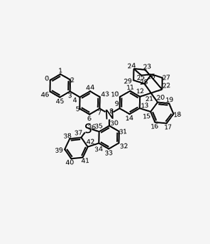 c1ccc(-c2ccc(N(c3ccc4c(c3)-c3ccccc3C43C4CC5CC(C4)C3C5)c3cccc4c3sc3ccccc34)cc2)cc1